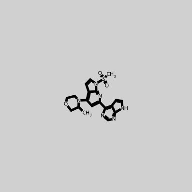 CC1COCCN1c1cc(-c2ncnc3[nH]ccc23)nc2c1ccn2S(C)(=O)=O